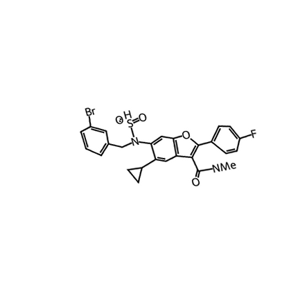 CNC(=O)c1c(-c2ccc(F)cc2)oc2cc(N(Cc3cccc(Br)c3)[SH](=O)=O)c(C3CC3)cc12